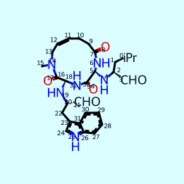 CC(C)C[C@@H](C=O)N[C@@H]1NC(=O)CCC=CCN(C)C(=O)[C@H](N[C@H](C=O)Cc2c[nH]c3ccccc23)NC1=O